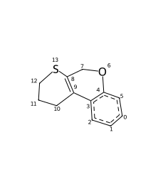 c1ccc2c(c1)OCC1=C2CCCS1